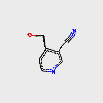 N#Cc1cnccc1C[O]